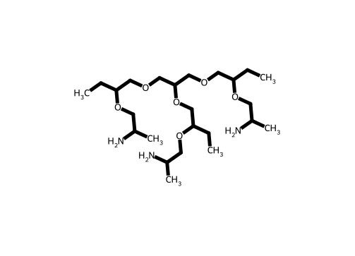 CCC(COCC(COCC(CC)OCC(C)N)OCC(CC)OCC(C)N)OCC(C)N